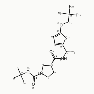 CC(NC(=O)[C@H]1CCN(C(=O)OC(C)(C)C)C1)c1ccc(OCC(F)(F)F)s1